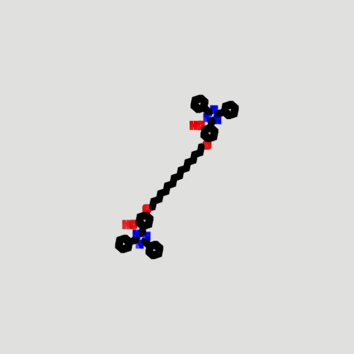 Oc1cc(OCCCCCCCCCCCCCCCCOc2ccc(-c3nc(-c4ccccc4)nc(-c4ccccc4)n3)c(O)c2)ccc1-c1nc(-c2ccccc2)nc(-c2ccccc2)n1